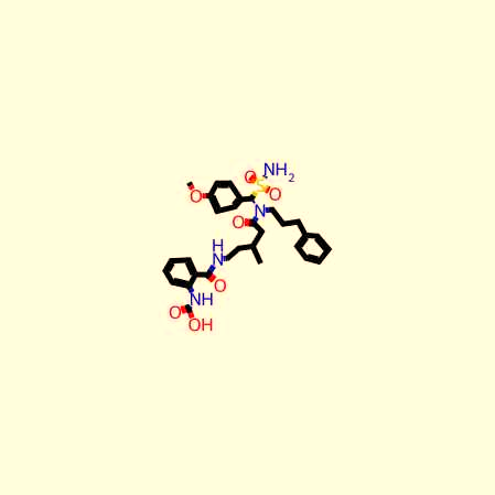 COc1ccc([C@@H](N(CCCc2ccccc2)C(=O)CC(C)CCNC(=O)c2ccccc2NC(=O)O)S(N)(=O)=O)cc1